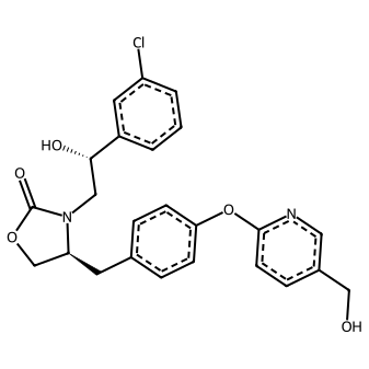 O=C1OC[C@H](Cc2ccc(Oc3ccc(CO)cn3)cc2)N1C[C@H](O)c1cccc(Cl)c1